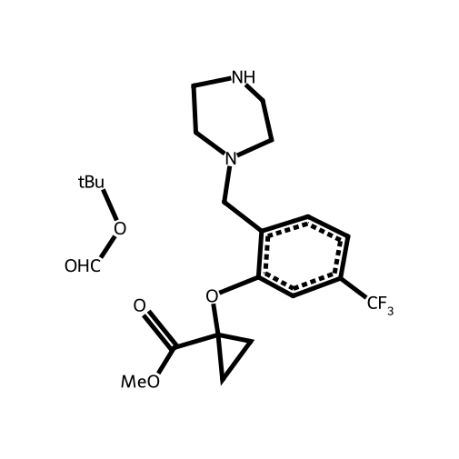 CC(C)(C)OC=O.COC(=O)C1(Oc2cc(C(F)(F)F)ccc2CN2CCNCC2)CC1